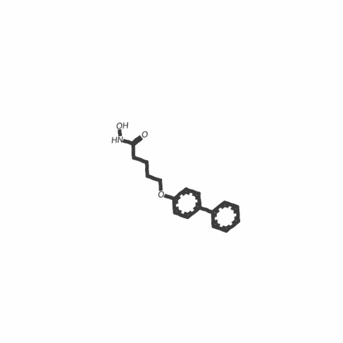 O=C(CCCCOc1ccc(-c2ccccc2)cc1)NO